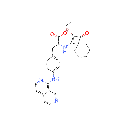 CCOC(=O)C(Cc1ccc(Nc2nccc3ccncc23)cc1)NC1=C(Br)C(=O)C12CCCCC2